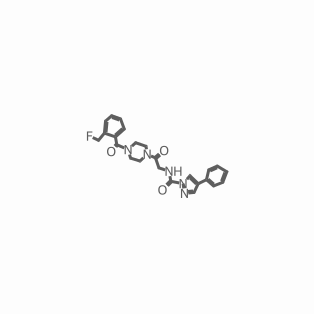 O=C(CNC(=O)n1cc(-c2ccccc2)cn1)N1CCN(C(=O)c2ccccc2CF)CC1